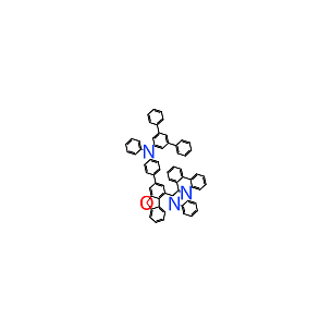 c1ccc(-c2cc(-c3ccccc3)cc(N(c3ccccc3)c3ccc(-c4cc(-c5nc6ccccc6nc5-c5ccccc5-c5ccccc5)c5c(c4)oc4ccccc45)cc3)c2)cc1